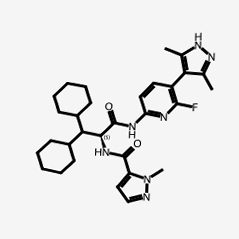 Cc1n[nH]c(C)c1-c1ccc(NC(=O)[C@@H](NC(=O)c2ccnn2C)C(C2CCCCC2)C2CCCCC2)nc1F